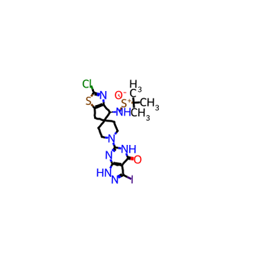 CC(C)(C)[S@@+]([O-])N[C@@H]1c2nc(Cl)sc2CC12CCN(c1nc3[nH]nc(I)c3c(=O)[nH]1)CC2